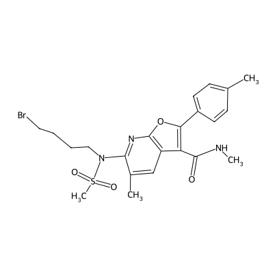 CNC(=O)c1c(-c2ccc(C)cc2)oc2nc(N(CCCCBr)S(C)(=O)=O)c(C)cc12